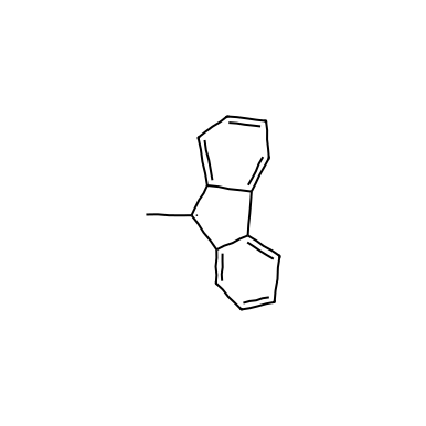 C[C]1c2ccccc2-c2ccccc21